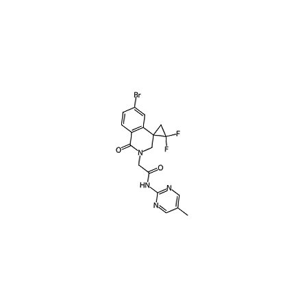 Cc1cnc(NC(=O)CN2CC3(CC3(F)F)c3cc(Br)ccc3C2=O)nc1